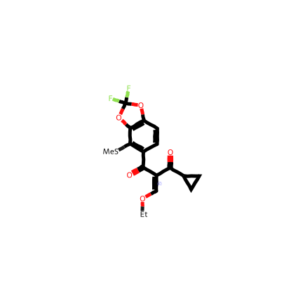 CCO/C=C(\C(=O)c1ccc2c(c1SC)OC(F)(F)O2)C(=O)C1CC1